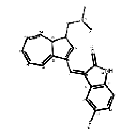 CN(C)CC1C=C(/C=C2\C(=O)Nc3ccc(F)cc32)C2=CC=CC=CC21